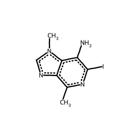 Cc1nc(I)c(N)c2c1ncn2C